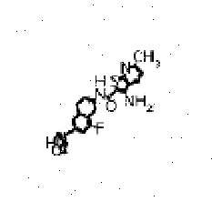 Cc1ccc2c(N)c(C(=O)N[C@H]3CCc4cc(N5CC6CNCC5CO6)cc(F)c4C3)sc2n1